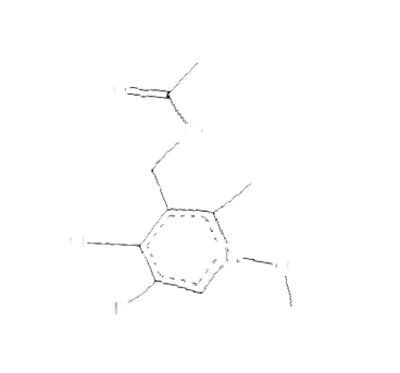 CO[n+]1cc(F)c(Cl)c(COC(C)=O)c1C